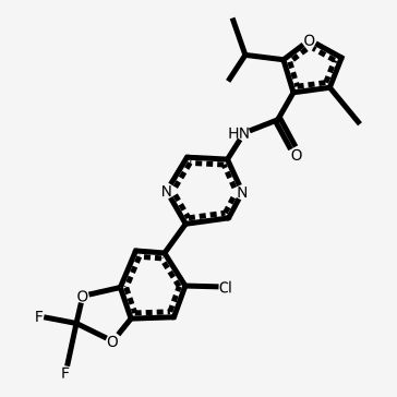 Cc1coc(C(C)C)c1C(=O)Nc1cnc(-c2cc3c(cc2Cl)OC(F)(F)O3)cn1